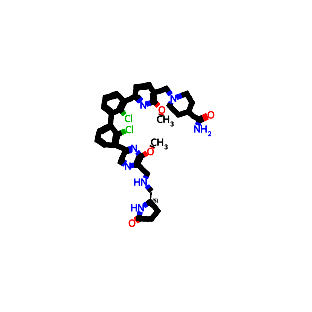 COc1nc(-c2cccc(-c3cccc(-c4cnc(CNC[C@@H]5CCC(=O)N5)c(OC)n4)c3Cl)c2Cl)ccc1CN1CCC(C(N)=O)CC1